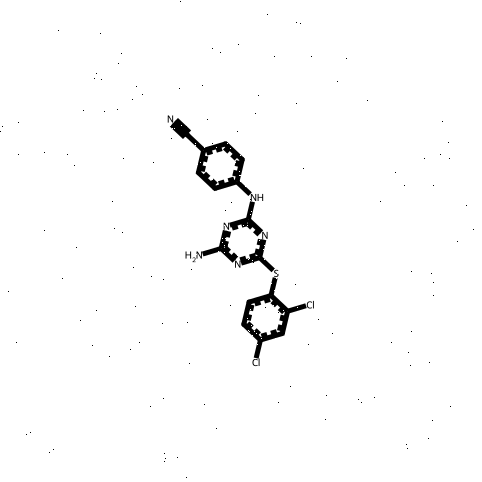 N#Cc1ccc(Nc2nc(N)nc(Sc3ccc(Cl)cc3Cl)n2)cc1